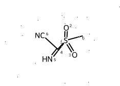 CS(=O)(=O)C(=N)C#N